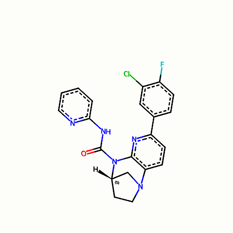 O=C(Nc1ccccn1)N1c2nc(-c3ccc(F)c(Cl)c3)ccc2N2CC[C@H]1C2